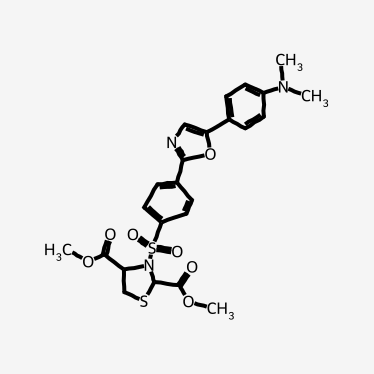 COC(=O)C1CSC(C(=O)OC)N1S(=O)(=O)c1ccc(-c2ncc(-c3ccc(N(C)C)cc3)o2)cc1